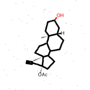 C#C[C@]1(OC(C)=O)CCC2C3CC[C@H]4C[C@H](O)CC[C@]4(C)C3CC[C@@]21C